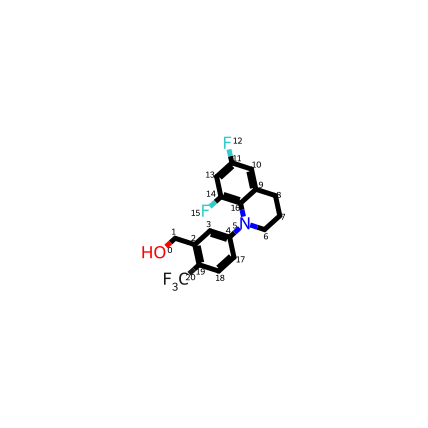 OCc1cc(N2CCCc3cc(F)cc(F)c32)ccc1C(F)(F)F